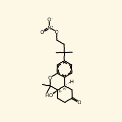 CC(C)(CCO[N+](=O)[O-])c1ccc2c(c1)OC(C)(C)[C@@]1(O)CCC(=O)C[C@H]21